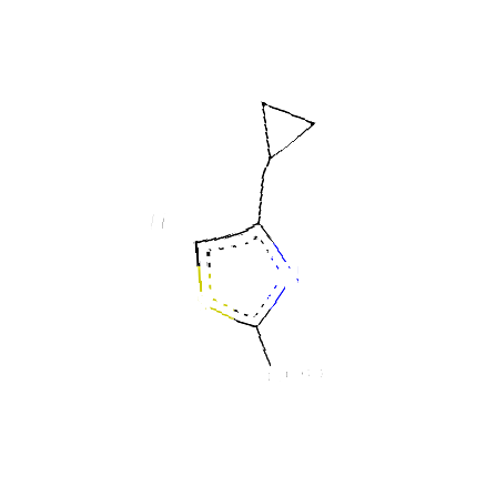 O=C([O-])c1nc(C2CC2)cs1.[Li+]